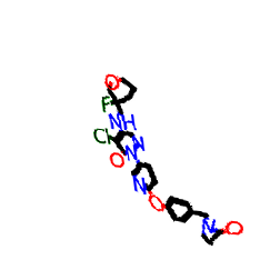 O=C1CCN1Cc1ccc(Oc2ccc(-n3ncc(NCC4(F)CCCOC4)c(Cl)c3=O)cn2)cc1